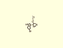 COCCOc1cncnc1-c1c[nH]c2ccc(Br)cc12